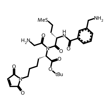 CSCC[C@H](NC(=O)c1cccc(CN)c1)C(=O)N(C(=O)CN)[C@@H](CCCCN1C(=O)C=CC1=O)C(=O)OC(C)(C)C